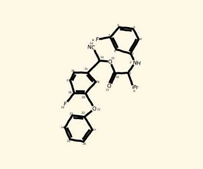 CC(C)C(Nc1cccc(F)c1)C(=O)OC(C#N)c1ccc(F)c(Oc2ccccc2)c1